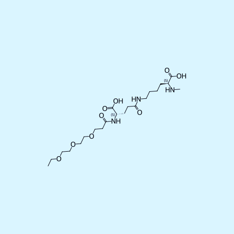 CCOCCOCCOCCC(=O)N[C@@H](CCC(=O)NCCCC[C@H](NC)C(=O)O)C(=O)O